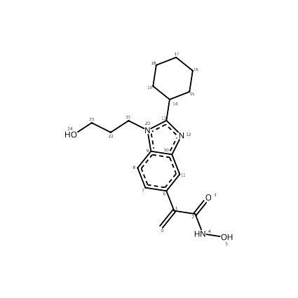 C=C(C(=O)NO)c1ccc2c(c1)nc(C1CCCCC1)n2CCCO